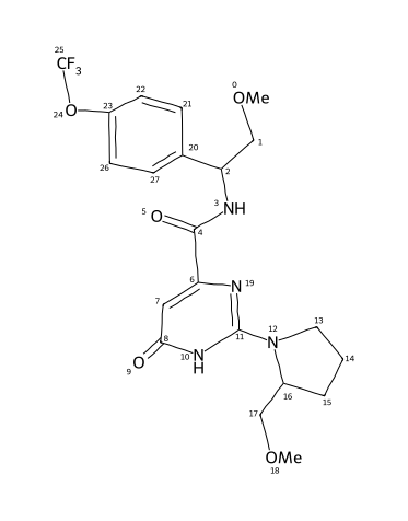 COCC(NC(=O)c1cc(=O)[nH]c(N2CCCC2COC)n1)c1ccc(OC(F)(F)F)cc1